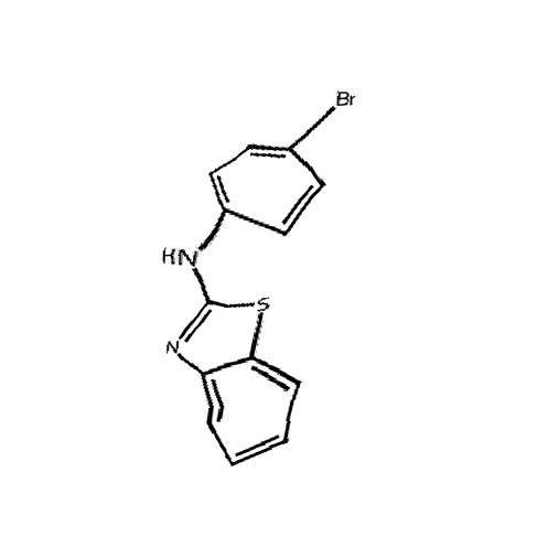 Brc1ccc(Nc2nc3ccccc3s2)cc1